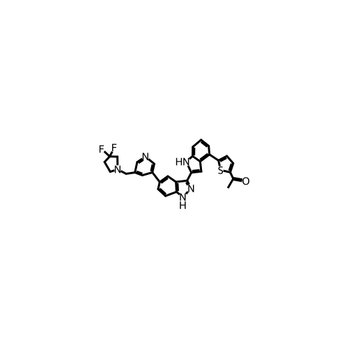 CC(=O)c1ccc(-c2cccc3[nH]c(-c4n[nH]c5ccc(-c6cncc(CN7CCC(F)(F)C7)c6)cc45)cc23)s1